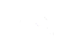 CC(C)(C)c1ccnc(C(C)(C)O)n1